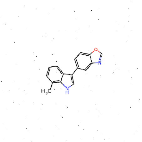 Cc1cccc2c(-c3ccc4ocnc4c3)c[nH]c12